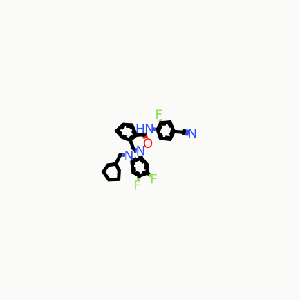 N#Cc1ccc(NC(=O)c2ccccc2-c2nc3cc(F)c(F)cc3n2CC2CCCCC2)c(F)c1